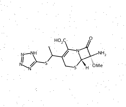 CO[C@@]1(N)C(=O)N2C(C(=O)O)=C(C(C)Sc3nnn[nH]3)CS[C@H]21